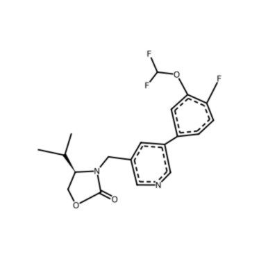 CC(C)[C@@H]1COC(=O)N1Cc1cncc(-c2ccc(F)c(OC(F)F)c2)c1